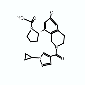 O=C(c1cnn(C2CC2)c1)N1CCc2cc(Cl)cc([C@@H]3CCCN3C(=O)O)c2C1